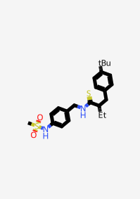 CCC(Cc1ccc(C(C)(C)C)cc1)C(=S)NCc1ccc(NS(C)(=O)=O)cc1